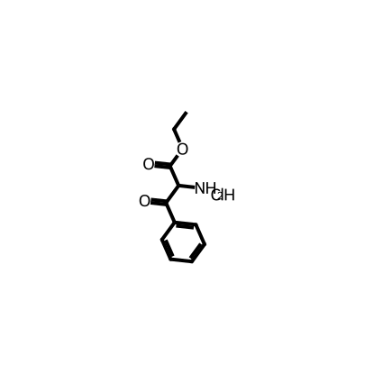 CCOC(=O)C(N)C(=O)c1ccccc1.Cl